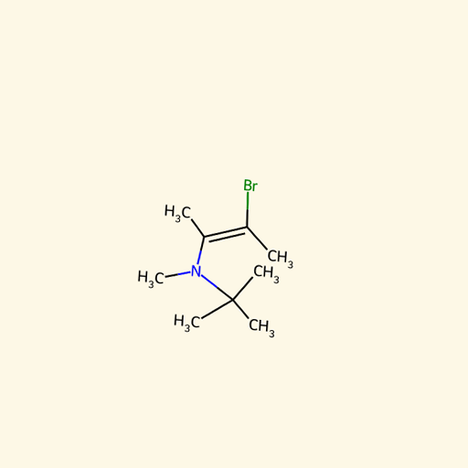 C/C(Br)=C(/C)N(C)C(C)(C)C